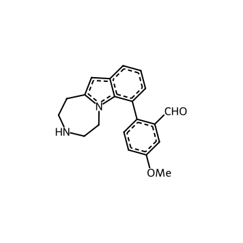 COc1ccc(-c2cccc3cc4n(c23)CCNCC4)c(C=O)c1